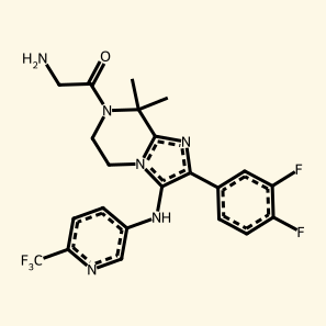 CC1(C)c2nc(-c3ccc(F)c(F)c3)c(Nc3ccc(C(F)(F)F)nc3)n2CCN1C(=O)CN